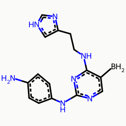 Bc1cnc(Nc2ccc(N)cc2)nc1NCCc1c[nH]cn1